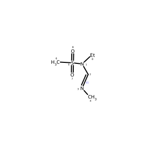 CCN(/C=N/C)S(C)(=O)=O